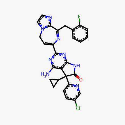 Nc1nc(C2=CCn3ccnc3C(Cc3ccccc3F)=N2)nc2c1C(c1ccc(Cl)cn1)(C1CC1)C(=O)N2